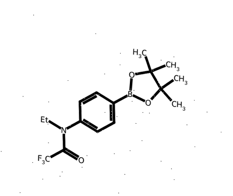 CCN(C(=O)C(F)(F)F)c1ccc(B2OC(C)(C)C(C)(C)O2)cc1